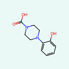 O=C(O)N1CCN(c2ccccc2O)CC1